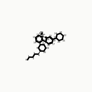 CCCCC[C@H]1CC[C@H](C2(c3ccccc3)C=CC(C3CCCCC3)=CC2=C=O)CC1